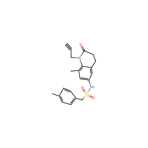 C#CCN1C(=O)CCc2cc(NS(=O)(=O)Cc3ccc(C)cc3)cc(C)c21